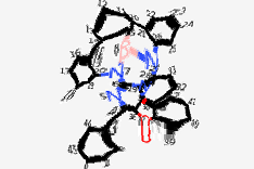 c1ccc(-c2nc(N3B4c5c(cccc5-c5ccccc53)-c3ccccc3N4c3ccccc3)nc3c2oc2ccccc23)cc1